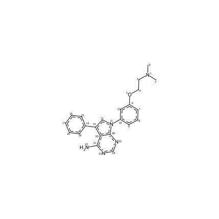 CN(C)CCOc1cccc(-n2cc(-c3ccccc3)c3c(N)ncnc32)c1